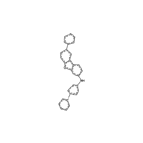 c1ccc(-c2ccc(Nc3ccc4c(c3)oc3ccc(-c5ccccc5)cc34)cc2)cc1